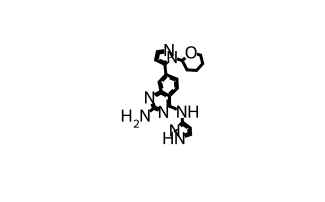 Nc1nc(Nc2cc[nH]n2)c2ccc(-c3ccnn3C3CCCCO3)cc2n1